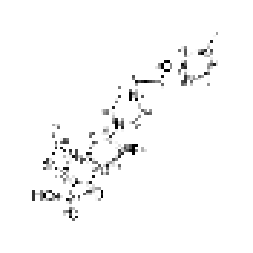 Cc1ccnc(OCCN2CCN(c3cc4c(cc3F)c(=O)c(C(=O)O)c3n4C(C)S3)CC2)c1